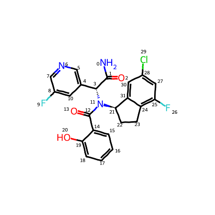 NC(=O)[C@@H](c1cncc(F)c1)N(C(=O)c1ccccc1O)[C@@H]1CCc2c(F)cc(Cl)cc21